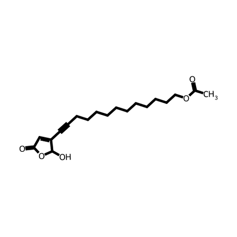 CC(=O)OCCCCCCCCCCCC#CC1=CC(=O)OC1O